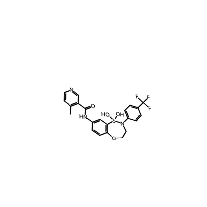 Cc1ccncc1C(=O)Nc1ccc2c(c1)S(O)(O)N(c1ccc(C(F)(F)F)cc1)CCO2